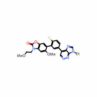 CCn1cnc2c(-c3ccc(F)c(-c4cc5oc(=O)n(CCOC)c5cc4OC)c3)cnnc21